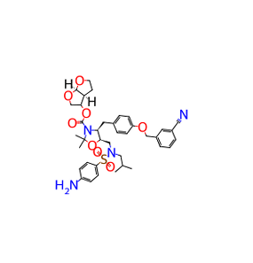 CC(C)CN(C[C@H]1OC(C)(C)N(C(=O)OC2CO[C@H]3OCC[C@@H]23)[C@H]1Cc1ccc(OCc2cccc(C#N)c2)cc1)S(=O)(=O)c1ccc(N)cc1